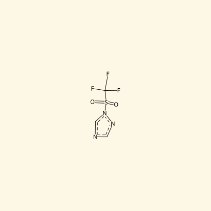 O=S(=O)(n1cncn1)C(F)(F)F